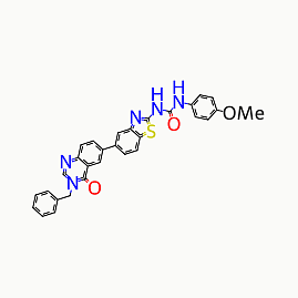 COc1ccc(NC(=O)Nc2nc3cc(-c4ccc5ncn(Cc6ccccc6)c(=O)c5c4)ccc3s2)cc1